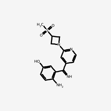 CS(=O)(=O)C1CN(c2cc(C(=N)c3cc(O)ccc3N)ccn2)C1